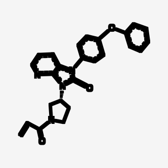 C=CC(=O)N1CC[C@@H](n2c(=O)n(-c3ccc(Oc4ccccc4)cc3)c3cccnc32)C1